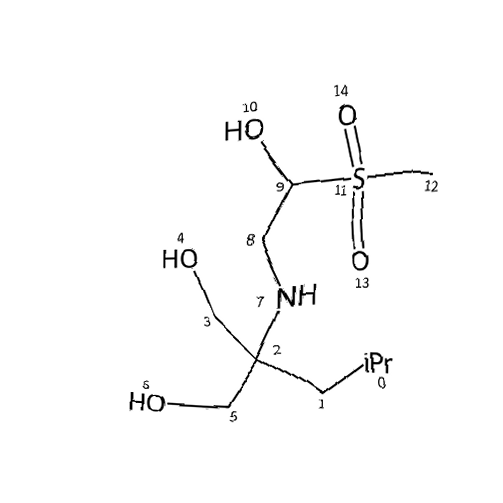 CC(C)CC(CO)(CO)NCC(O)S(C)(=O)=O